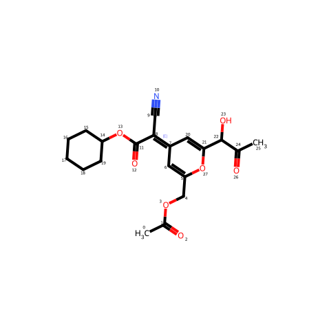 CC(=O)OCC1=C/C(=C(/C#N)C(=O)OC2CCCCC2)C=C(C(O)C(C)=O)O1